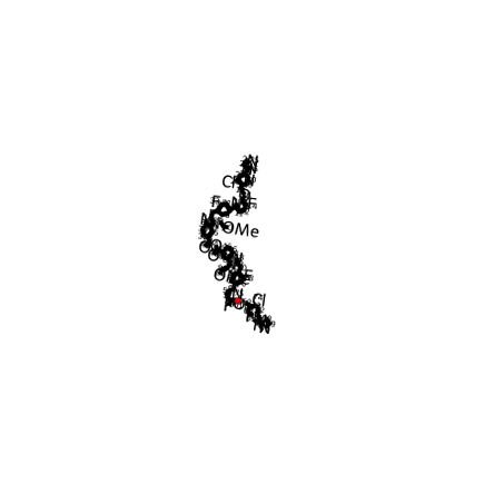 COCCn1c(Cc2ccc(-c3ccc(F)c(OCc4cnc(-n5ccnn5)cc4Cl)n3)cc2F)nc2ccc(C(=O)OC(=O)c3ccc4nc(Cc5ccc(-c6ccc(F)c(OCc7cnc(-n8ccnn8)cc7Cl)n6)cc5F)n(CCOC)c4c3)cc21